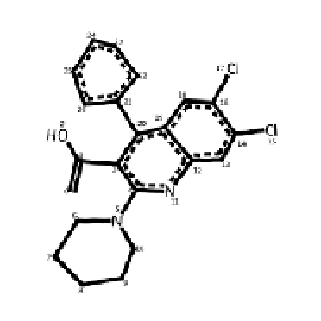 C=C(O)c1c(N2CCCCC2)nc2cc(Cl)c(Cl)cc2c1-c1ccccc1